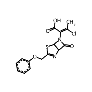 C/C(Cl)=C(\C(=O)O)N1C(=O)C2N=C(COc3ccccc3)SC21